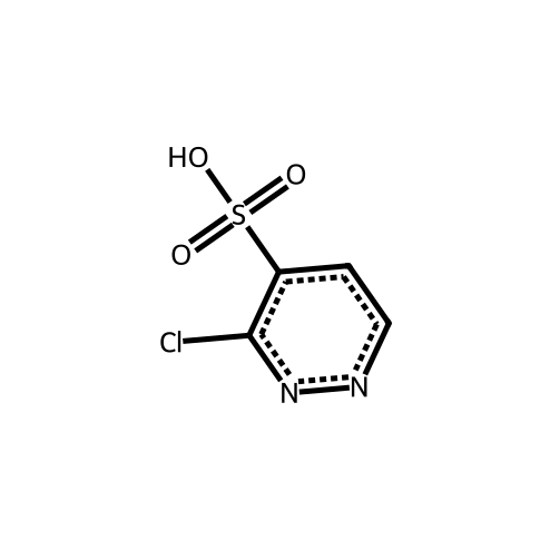 O=S(=O)(O)c1ccnnc1Cl